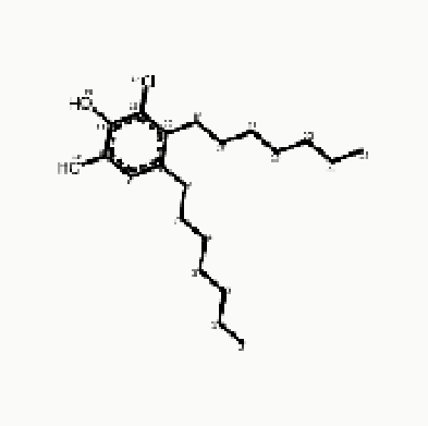 CCCCCCCc1cc(O)c(O)c(Cl)c1CCCCCCC